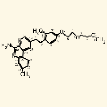 COCCOCCOc1ccc(CCc2cnc3c(N)nc4cc(C)ccc4c3c2)c(C)c1